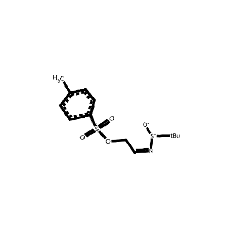 Cc1ccc(S(=O)(=O)OC/C=N\[S+]([O-])C(C)(C)C)cc1